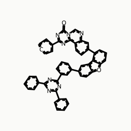 O=c1nc(-c2ccccc2)nc2c3ccc(-c4cccc5oc6ccc(-c7cccc(-c8nc(-c9ccccc9)nc(-c9ccccc9)n8)c7)cc6c45)cc3ncn12